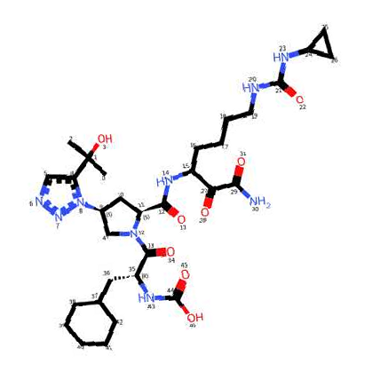 CC(C)(O)c1cnnn1[C@H]1C[C@@H](C(=O)NC(CCCCNC(=O)NC2CC2)C(=O)C(N)=O)N(C(=O)[C@@H](CC2CCCCC2)NC(=O)O)C1